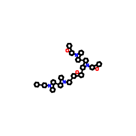 c1ccc(-c2ccc(-n3c4ccccc4c4c(-c5cccc6c5c5ccccc5n6-c5cccc(-c6ccc7oc8c(-c9ccc%10c%11c(-c%12cccc%13c%12c%12ccccc%12n%13-c%12ccc%13oc%14ccccc%14c%13c%12)cccc%11n(-c%11ccc%12oc%13ccccc%13c%12c%11)c%10c9)cccc8c7c6)c5)cccc43)cc2)cc1